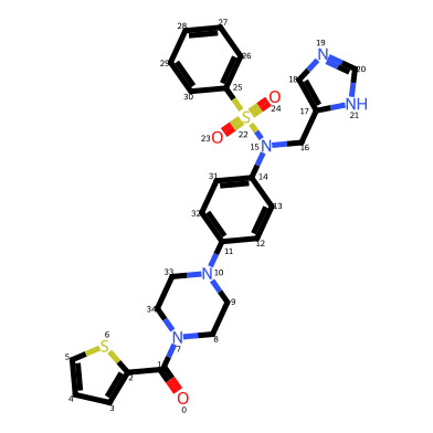 O=C(c1cccs1)N1CCN(c2ccc(N(Cc3cnc[nH]3)S(=O)(=O)c3ccccc3)cc2)CC1